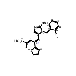 CCCCc1ncc(/C=C(\C=C(/C)C(=O)O)c2cccs2)n1Cc1ccccc1Cl